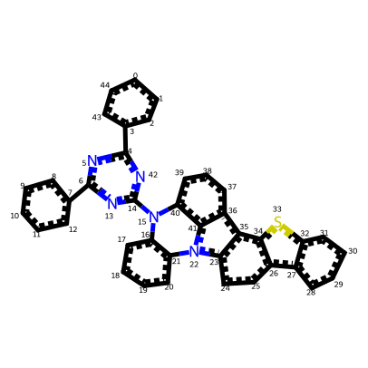 c1ccc(-c2nc(-c3ccccc3)nc(N3c4ccccc4-n4c5ccc6c7ccccc7sc6c5c5cccc3c54)n2)cc1